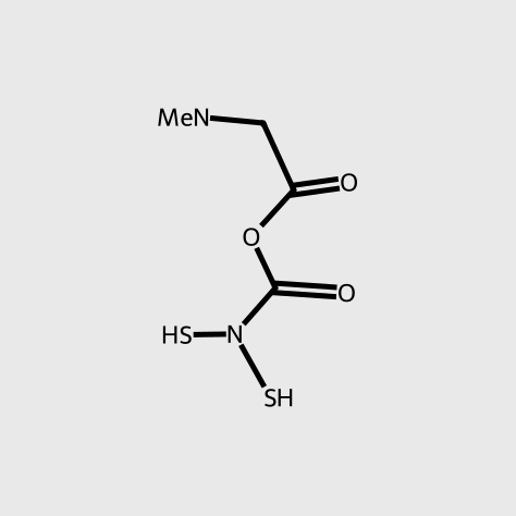 CNCC(=O)OC(=O)N(S)S